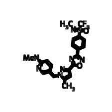 CN=S(=O)(c1ccc(-c2noc(-c3cc(C)n(Cc4ccc(NC)nc4)n3)n2)cc1)C(F)(F)F